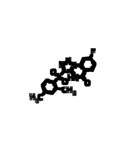 Cc1ccc(S(=O)(=O)c2nnn3c2[nH]c(=O)c2ccc(F)cc23)c(C)c1